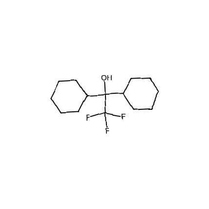 OC(C1CCCCC1)(C1CCCCC1)C(F)(F)F